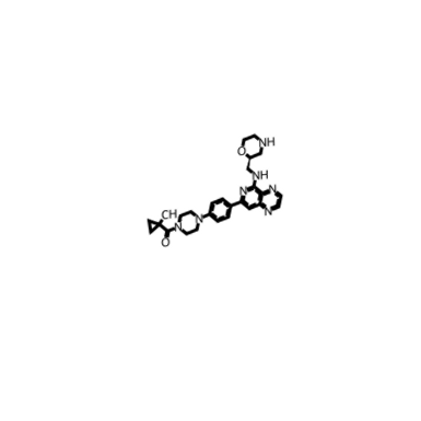 CC1(C(=O)N2CCN(c3ccc(-c4cc5nccnc5c(NC[C@@H]5CNCCO5)n4)cc3)CC2)CC1